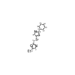 CCc1cnc(CSc2cnc(-c3cc[c]cc3)s2)o1